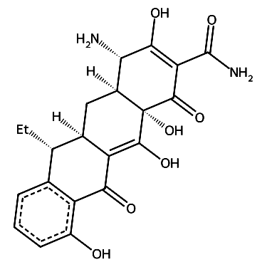 CC[C@H]1c2cccc(O)c2C(=O)C2=C(O)[C@]3(O)C(=O)C(C(N)=O)=C(O)[C@@H](N)[C@@H]3C[C@@H]21